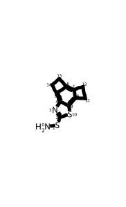 NSc1nc2c3c(c4c(c2s1)CC4)CC3